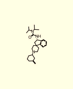 C=C1CCCC(N2CCC3(CC2)C[C@H](NC(=O)N(C(C)C)C(C)C)c2ccccc23)C1